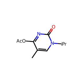 CC(=O)Oc1nc(=O)n(C(C)C)cc1C